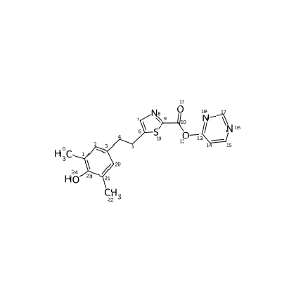 Cc1cc(CCc2cnc(C(=O)Oc3ccncn3)s2)cc(C)c1O